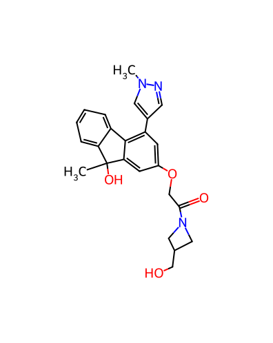 Cn1cc(-c2cc(OCC(=O)N3CC(CO)C3)cc3c2-c2ccccc2C3(C)O)cn1